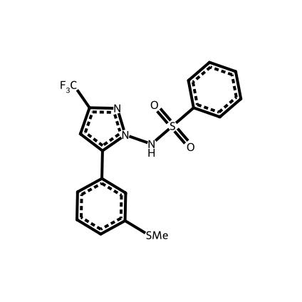 CSc1cccc(-c2cc(C(F)(F)F)nn2NS(=O)(=O)c2ccccc2)c1